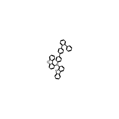 c1ccc(-c2ccccc2-c2ccc(-c3ccc(N(c4cccc5c4sc4ccccc45)c4cccc5oc6ccccc6c45)cc3)cc2)cc1